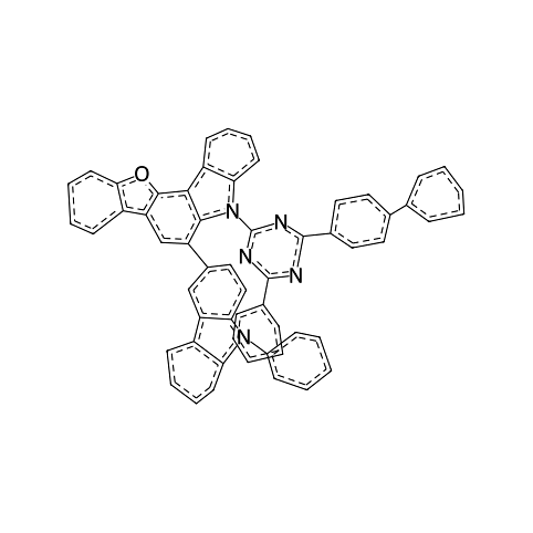 c1ccc(-c2ccc(-c3nc(-c4ccccc4)nc(-n4c5ccccc5c5c6oc7ccccc7c6cc(-c6ccc7c(c6)c6ccccc6n7-c6ccccc6)c54)n3)cc2)cc1